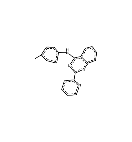 Cc1ccc(Nc2nc(-c3ccccn3)nc3ccccc23)cc1